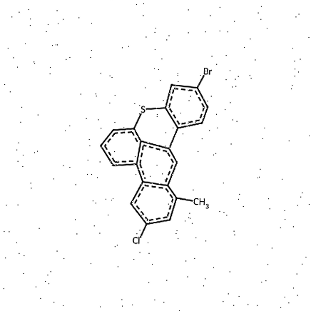 Cc1cc(Cl)cc2c1cc1c3c(cccc32)Sc2cc(Br)ccc2-1